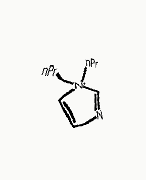 CCC[N+]1(CCC)C=CN=C1